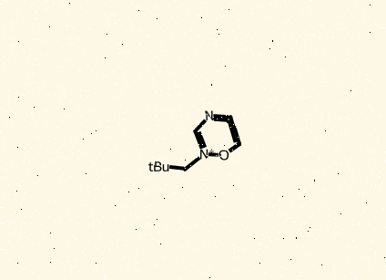 CC(C)(C)C[N+]1=CN=C=CO1